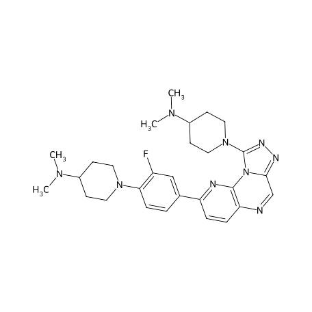 CN(C)C1CCN(c2ccc(-c3ccc4ncc5nnc(N6CCC(N(C)C)CC6)n5c4n3)cc2F)CC1